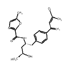 C=C(/C=C(\C)Cl)c1ccc(C[C@H](C[C@@H](O)C(=O)O)NC(=O)c2ncc(C)o2)cc1